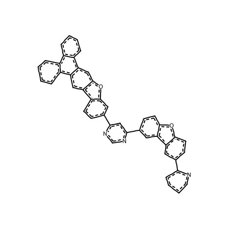 c1ccc(-c2ccc3oc4ccc(-c5cc(-c6ccc7c(c6)oc6cc8c9ccccc9c9ccccc9c8cc67)ncn5)cc4c3c2)nc1